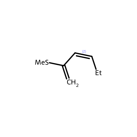 C=C(/C=C\CC)SC